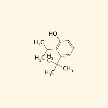 CC(C)c1c(O)cccc1C(C)(C)C